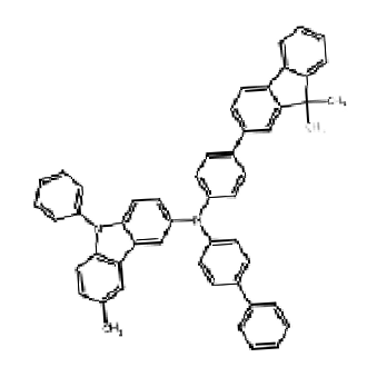 Cc1ccc2c(c1)c1cc(N(c3ccc(-c4ccccc4)cc3)c3ccc(-c4ccc5c(c4)C(C)(C)c4ccccc4-5)cc3)ccc1n2-c1ccccc1